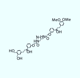 COc1ccc(CC[C@@H](O)c2cccc(OCC(=O)NCC(CNC(=O)COc3cccc([C@H](O)CCc4ccc(CO)c(CO)c4)c3)CN(C)C)c2)cc1OC